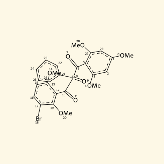 COc1cc(OC)c(C(=O)P(=O)(C(=O)c2c(OC)ccc(Br)c2OC)c2ccccc2)c(OC)c1